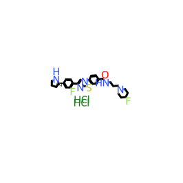 Cl.Cl.O=C(NCCCN1CCC(F)CC1)c1ccc2c(c1)sc1nc(-c3ccc([C@H]4CCCN4)cc3F)cn12